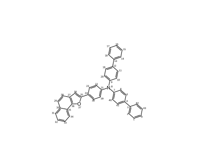 c1ccc(-c2ccc(N(c3ccc(-c4ccccc4)cc3)c3ccc(-c4cc5ccc6ccccc6c5o4)cc3)cc2)cc1